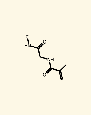 C=C(C)C(=O)NCC(=O)NCl